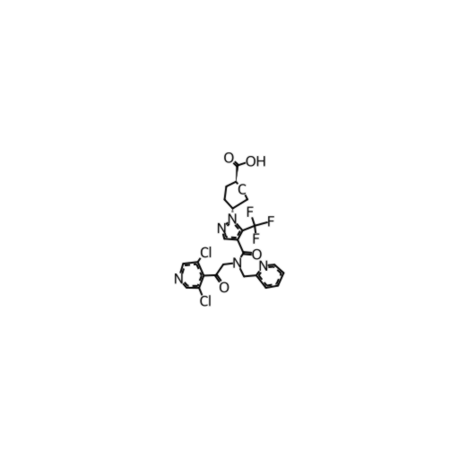 O=C(CN(Cc1ccccn1)C(=O)c1cnn([C@H]2CC[C@H](C(=O)O)CC2)c1C(F)(F)F)c1c(Cl)cncc1Cl